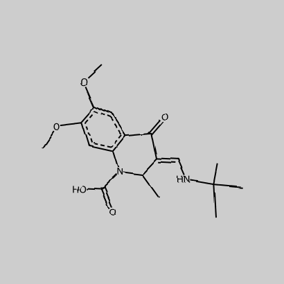 COc1cc2c(cc1OC)N(C(=O)O)C(C)C(=CNC(C)(C)C)C2=O